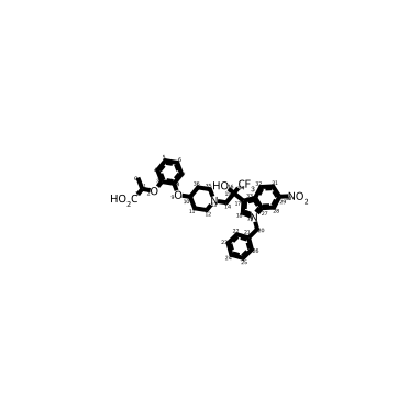 CC(Oc1ccccc1OC1CCN(CC(O)(c2cn(Cc3ccccc3)c3cc([N+](=O)[O-])ccc23)C(F)(F)F)CC1)C(=O)O